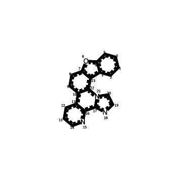 c1ccc2c(c1)oc1ccc3c4cccnc4c4nccn4c3c12